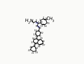 CC1=CCC(C(=C/CN)/C=C/C2CCC(C3CCC(C4CCCCC4)C4C=CCCC43)CC2)C=CC1